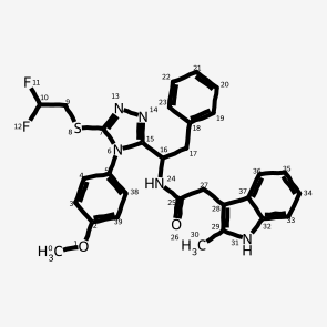 COc1ccc(-n2c(SCC(F)F)nnc2C(Cc2ccccc2)NC(=O)Cc2c(C)[nH]c3ccccc23)cc1